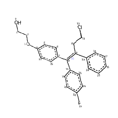 OCCOc1ccc(/C(=C(\CCCl)c2ccccc2)c2ccc(F)cc2)cc1